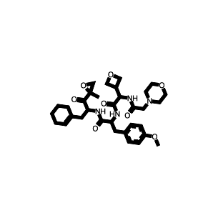 COc1ccc(CC(NC(=O)C(NC(=O)CN2CCOCC2)C2COC2)C(=O)NC(CC2=CCCCC2)C(=O)C2(C)CO2)cc1